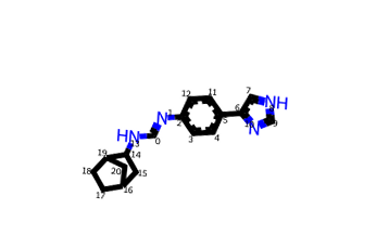 C(=Nc1ccc(-c2c[nH]cn2)cc1)NC1CC2CCC1C2